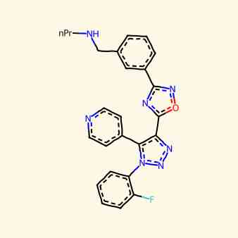 CCCNCc1cccc(-c2noc(-c3nnn(-c4ccccc4F)c3-c3ccncc3)n2)c1